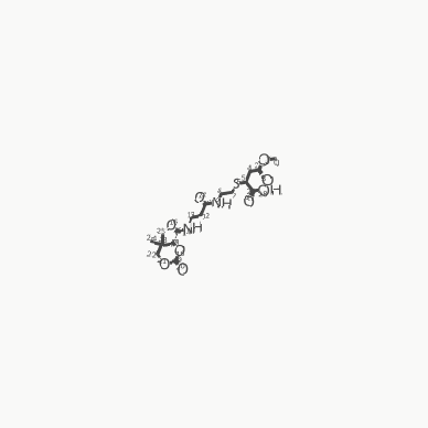 COC(=O)CC(SCCNC(=O)CCNC(=O)[C@@H]1OC(=O)OCC1(C)C)C(=O)O